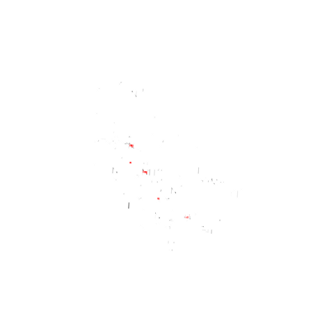 COc1c(Cl)cccc1N(c1c(F)ccc2c(Oc3ncccc3-c3ccnc(NC4CCCN(C(=O)OC(C)(C)C)C4)n3)c(C)ccc12)S(C)(=O)=O